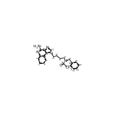 Nc1nc2ccccc2c2c1ncn2CCCCN(Cc1ccccc1)C(=O)C(F)(F)F